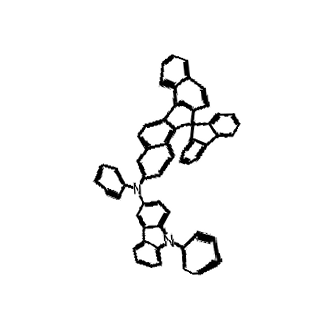 c1ccc(N(c2ccc3c4c(ccc3c2)-c2c(ccc3ccccc23)C42c3ccccc3-c3ccccc32)c2ccc3c(c2)c2ccccc2n3-c2ccccc2)cc1